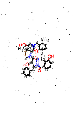 Cc1ccccc1CN(CCO)C(=O)[C@H]1N(C(=O)[C@@H](O)[C@H](Cc2ccccc2)NC(=O)c2cccc(O)c2C)CSC1(C)C